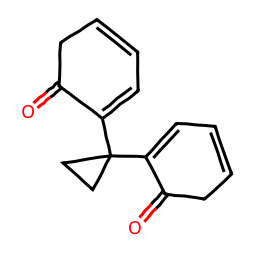 O=C1CC=CC=C1C1(C2=CC=CCC2=O)CC1